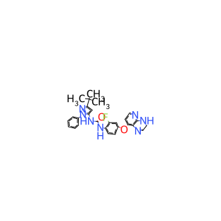 CC(C)(C)c1cc(NC(=O)Nc2ccc(Oc3ccnc4c3N=CCN4)cc2F)n(-c2ccccc2)n1